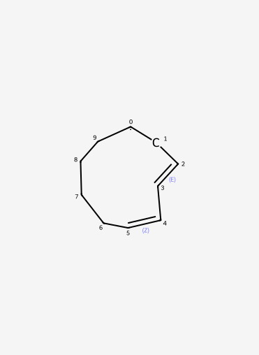 [CH]1C/C=C/C=C\CCCC1